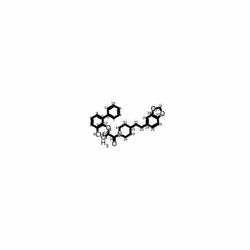 Cc1cccc(-c2ccccc2)c1OC(C)C(=O)N1CCC(CCc2ccc3c(c2)OCO3)CC1